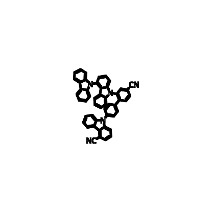 N#Cc1ccc(-c2ccc(-n3c4ccccc4c4c(C#N)cccc43)cc2)c(-n2c3ccccc3c3c(-n4c5ccccc5c5ccccc54)cccc32)c1